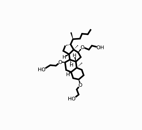 CCCC[C@H](C)[C@H]1CC[C@H]2[C@@H]3[C@H](OCCO)C[C@@H]4C[C@H](OCCO)CC[C@]4(C)[C@H]3C[C@H](OCCO)[C@]12C